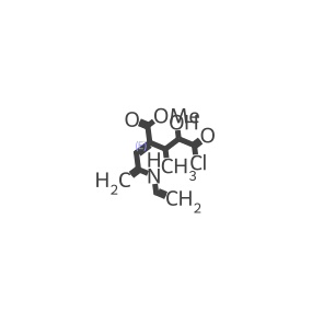 C=CNC(=C)/C=C(/C(=O)OC)C(C)C(O)C(=O)Cl